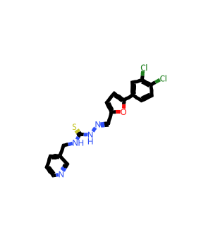 S=C(NCc1cccnc1)NN=Cc1ccc(-c2ccc(Cl)c(Cl)c2)o1